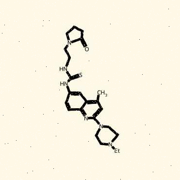 CCN1CCN(c2cc(C)c3cc(NC(=S)NCCN4CCCC4=O)ccc3n2)CC1